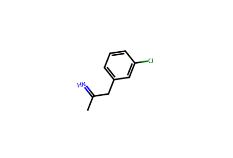 CC(=N)Cc1cccc(Cl)c1